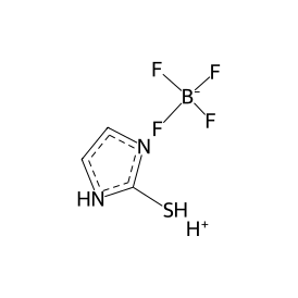 F[B-](F)(F)F.Sc1ncc[nH]1.[H+]